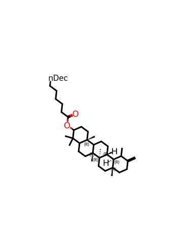 C=C1CC[C@]2(C)CC[C@]3(C)[C@H](CCC4[C@@]5(C)CCC(OC(=O)CCCCCCCCCCCCCCC)C(C)(C)C5CC[C@]43C)[C@H]2C1C